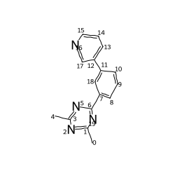 Cc1nc(C)nc(-c2cccc(-c3cccnc3)c2)n1